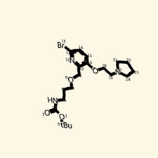 CC(C)(C)OC(=O)NCCCOCc1nc(Br)ccc1OCCN1CCCC1